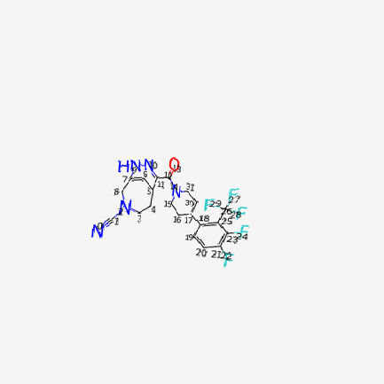 N#CN1CCC2C=C(C1)NN=C2C(=O)N1CCC(c2ccc(F)c(F)c2C(F)(F)F)CC1